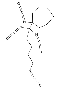 O=C=NCCCCC(N=C=O)(N=C=O)C1(N=C=O)CCCCCC1